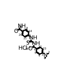 CN(C)c1ccc(C(=O)NC(=S)Nc2ccc(C(N)=O)cc2)cc1.Cl